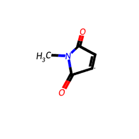 CN1C(=O)[C]=CC1=O